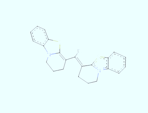 CC/C(C1=C2Sc3ccccc3N2CCC1)=C1/CCC[n+]2c1sc1ccccc12